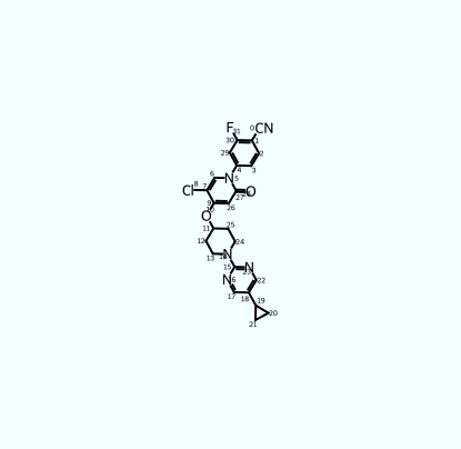 N#Cc1ccc(-n2cc(Cl)c(OC3CCN(c4ncc(C5CC5)cn4)CC3)cc2=O)cc1F